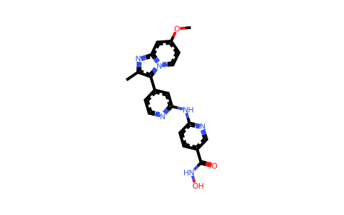 COc1ccn2c(-c3ccnc(Nc4ccc(C(=O)NO)cn4)c3)c(C)nc2c1